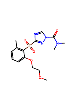 COCCOc1cccc(C)c1S(=O)(=O)c1ncn(C(=O)N(C)C)n1